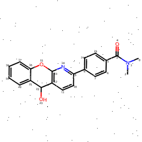 CN(C)C(=O)c1ccc(-c2ccc3c(n2)Oc2ccccc2C3O)cc1